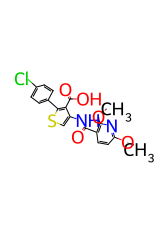 COc1ccc(C(=O)Nc2csc(-c3ccc(Cl)cc3)c2C(=O)O)c(OC)n1